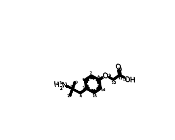 CC(C)(N)Cc1ccc(OCC(=O)O)cc1